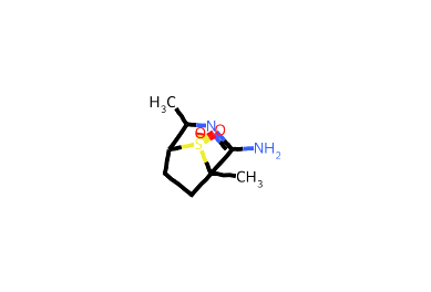 CC1N=C(N)C2(C)CCC1S2(=O)=O